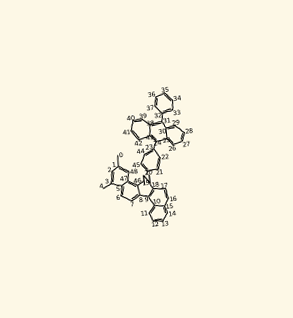 Cc1cc(C)c2ccc3c4c5ccccc5ccc4n(-c4ccc(-c5c6ccccc6c(-c6ccccc6)c6ccccc56)cc4)c3c2c1